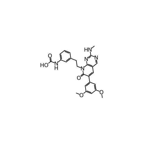 CNc1ncc2cc(-c3cc(OC)cc(OC)c3)c(=O)n(CCc3cccc(NC(=O)O)c3)c2n1